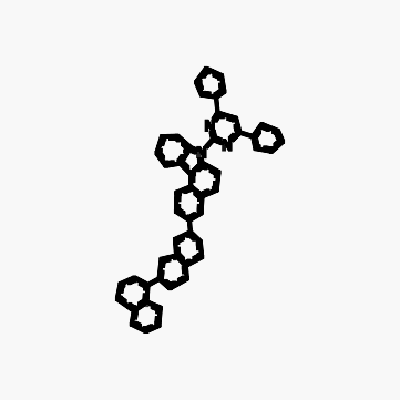 c1ccc(-c2cc(-c3ccccc3)nc(-n3c4ccccc4c4c5ccc(-c6ccc7ccc(-c8cccc9ccccc89)cc7c6)cc5ccc43)n2)cc1